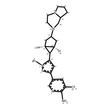 CC(C)n1nc(-c2cnc(N)c(C(F)(F)F)c2)cc1C1[C@H]2CC(N3CCN4CCCC4C3)C[C@@H]12